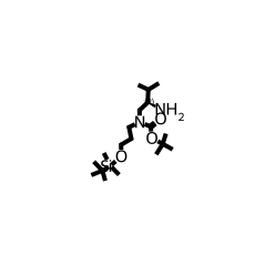 CC(C)[C@@H](N)CN(CCCO[Si](C)(C)C(C)(C)C)C(=O)OC(C)(C)C